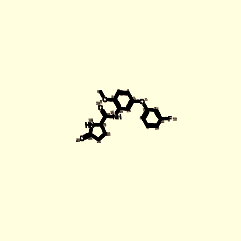 COc1ccc(Oc2cccc(F)c2)cc1NC(=O)C1CCC(=O)N1